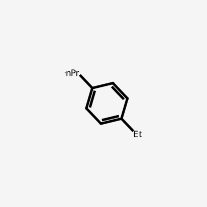 CC[CH]c1ccc(CC)cc1